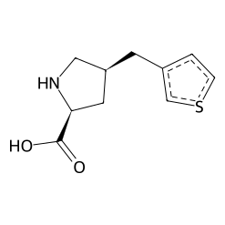 O=C(O)[C@@H]1C[C@H](Cc2ccsc2)CN1